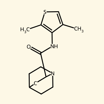 Cc1csc(C)c1NC(=O)C1CC2CCN1CC2